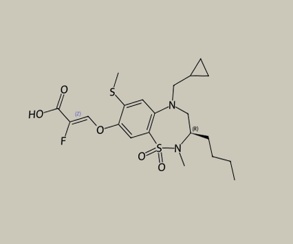 CCCC[C@@H]1CN(CC2CC2)c2cc(SC)c(O/C=C(\F)C(=O)O)cc2S(=O)(=O)N1C